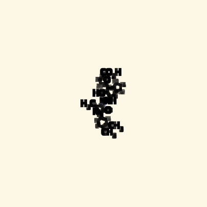 CC1=NN(c2ccc(C)c(C)c2)C(=O)/C1=N\Nc1cc2c(c(-c3ccc(C(=O)O)o3)c1O)CCC2